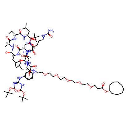 CC[C@H](NC(=O)[C@H](C)NC(=O)[C@H](CC(C)C)NC(=O)[C@H](CC(=O)OC(C)(C)C)NC(=O)CNC(=O)c1cccc(N/C(=N/C(=O)OC(C)(C)C)NC(=O)OC(C)(C)C)c1)C(=O)N[C@@H](CC(C)C)C(=O)N[C@@H](CCCNC(N)=O)C(=O)NC(C)(C)C(=O)N[C@@H](CC(C)C)C(=O)NCCOCCOCCOCCOCCOCCC(=O)OC1CCCCCCCC1